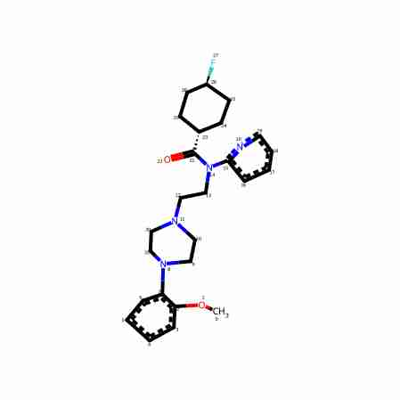 COc1ccccc1N1CCN(CCN(c2ccccn2)C(=O)[C@H]2CC[C@H](F)CC2)CC1